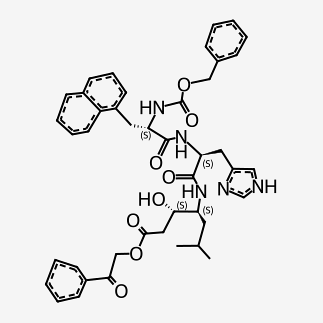 CC(C)C[C@H](NC(=O)[C@H](Cc1c[nH]cn1)NC(=O)[C@H](Cc1cccc2ccccc12)NC(=O)OCc1ccccc1)[C@@H](O)CC(=O)OCC(=O)c1ccccc1